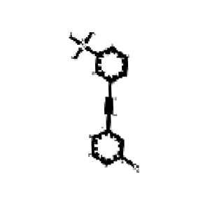 C[Si](C)(C)c1cccc(C#Cc2cccc(Br)c2)c1